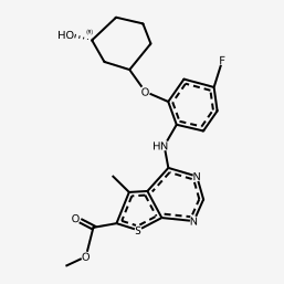 COC(=O)c1sc2ncnc(Nc3ccc(F)cc3OC3CCC[C@@H](O)C3)c2c1C